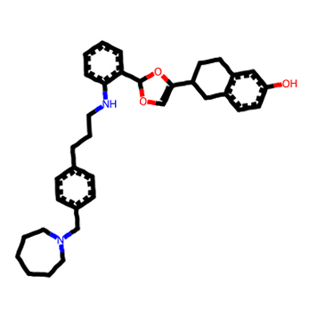 Oc1ccc2c(c1)CCC(C1=COC(c3ccccc3NCCCc3ccc(CN4CCCCCC4)cc3)O1)C2